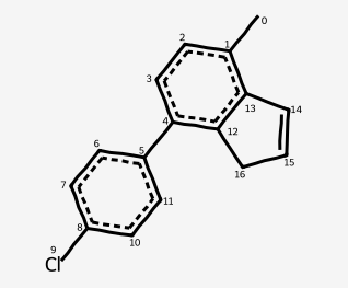 Cc1ccc(-c2ccc(Cl)cc2)c2c1C=CC2